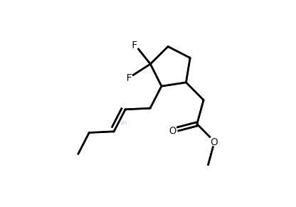 CC/C=C/CC1C(CC(=O)OC)CCC1(F)F